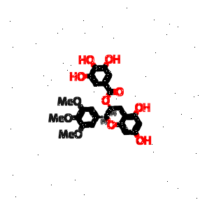 COc1cc([C@H]2Oc3cc(O)cc(O)c3C[C@H]2OC(=O)c2cc(O)c(O)c(O)c2)cc(OC)c1OC